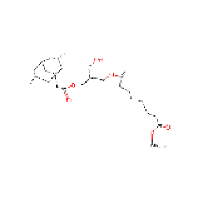 C=C(CCCCCCC(=O)OCCCCCCCCC)OCC(CO)COC(=O)CC12CC(C)CC(CC(C)C1)C2